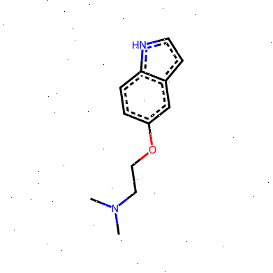 CN(C)CCOc1ccc2[nH]ccc2c1